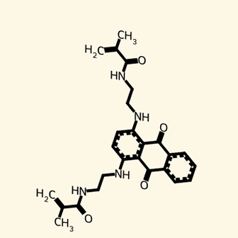 C=C(C)C(=O)NCCNc1ccc(NCCNC(=O)C(=C)C)c2c1C(=O)c1ccccc1C2=O